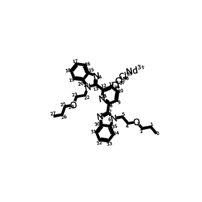 CCCOCCn1c(-c2cccc(-c3nc4ccccc4n3CCOCCC)n2)nc2ccccc21.[Cl-].[Cl-].[Cl-].[Nd+3]